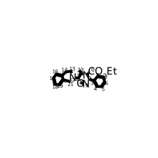 CCOC(=O)N1C(c2ccccc2)=NOC(N2CCc3ccccc3C2)C1C